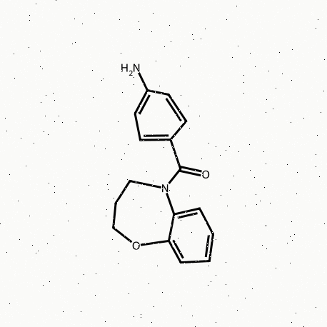 Nc1ccc(C(=O)N2CCCOc3ccccc32)cc1